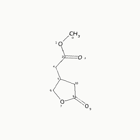 COC(=O)CC1COC(=O)C1